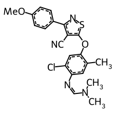 COc1ccc(-c2nsc(Oc3cc(Cl)c(/N=C\N(C)C)cc3C)c2C#N)cc1